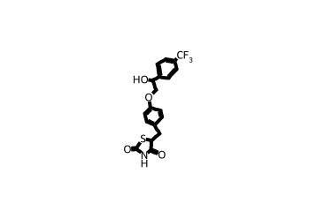 O=C1NC(=O)C(Cc2ccc(OCC(O)c3ccc(C(F)(F)F)cc3)cc2)S1